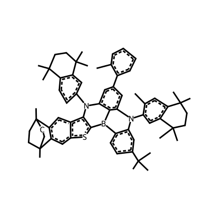 Cc1ccccc1-c1cc2c3c(c1)N(c1ccc4c(c1)C(C)(C)CCC4(C)C)c1c(sc4cc5c(cc14)C1(C)CCC5(C)CC1)B3c1ccc(C(C)(C)C)cc1N2c1cc2c(cc1C)C(C)(C)CCC2(C)C